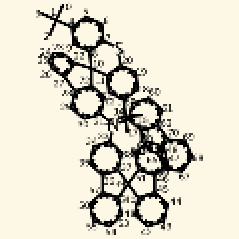 CC(C)(C)c1ccc2c(c1)C1(c3cc(C(C)(C)C)ccc3S2)c2ccccc2-c2ccc(N(c3ccc4c(c3)C3(c5ccccc5-c5ccccc53)c3ccccc3-4)c3cccc4c3sc3ccccc34)cc21